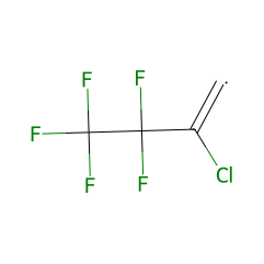 [CH]=C(Cl)C(F)(F)C(F)(F)F